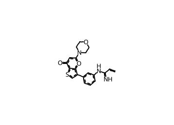 C=CC(=N)Nc1cccc(-c2csc3c(=O)cc(N4CCOCC4)oc23)c1